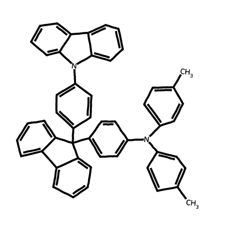 Cc1ccc(N(c2ccc(C)cc2)c2ccc(C3(c4ccc(-n5c6ccccc6c6ccccc65)cc4)c4ccccc4-c4ccccc43)cc2)cc1